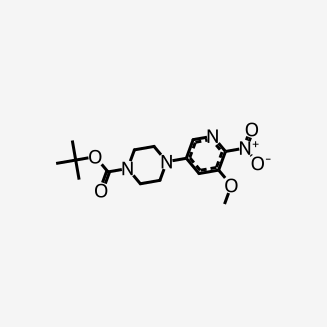 COc1cc(N2CCN(C(=O)OC(C)(C)C)CC2)cnc1[N+](=O)[O-]